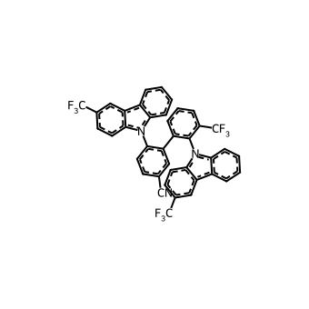 N#Cc1ccc(-n2c3ccccc3c3cc(C(F)(F)F)ccc32)c(-c2cccc(C(F)(F)F)c2-n2c3ccccc3c3cc(C(F)(F)F)ccc32)c1